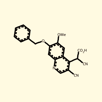 COc1cc2c(C(C#N)C(=O)O)c(C#N)cnc2cc1OCc1ccccc1